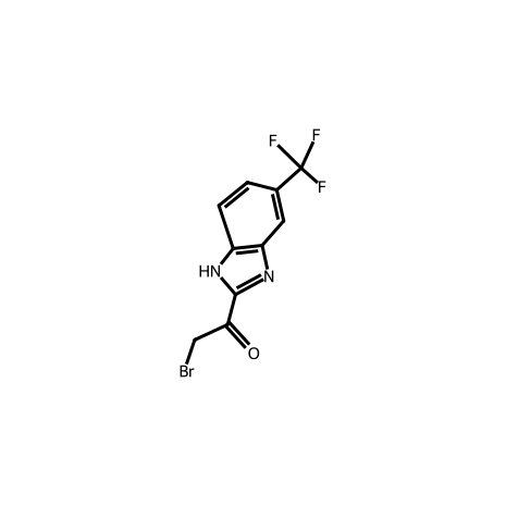 O=C(CBr)c1nc2cc(C(F)(F)F)ccc2[nH]1